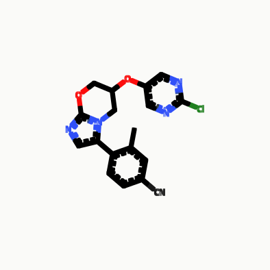 Cc1cc(C#N)ccc1-c1cnc2n1CC(Oc1cnc(Cl)nc1)CO2